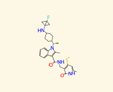 CSc1cc(C)[nH]c(=O)c1CNC(=O)c1c(C)n([C@H](C)C2CCC(NC34CC3(F)C4)CC2)c2ccccc12